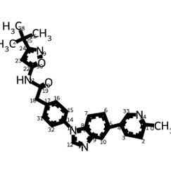 Cc1ccc(-c2ccc3c(c2)ncn3-c2ccc(CC(=O)Nc3cc(C(C)(C)C)no3)cc2)cn1